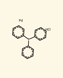 Cl.[Pd].c1ccc(P(c2ccccc2)c2ccccc2)cc1